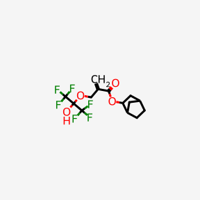 C=C(COC(O)(C(F)(F)F)C(F)(F)F)C(=O)OC1CC2CCC1C2